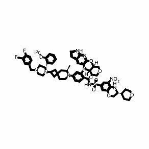 CC(C)Oc1ccccc1[C@H]1CN(Cc2ccc(F)c(F)c2)CCN1C1CC2(CCN(c3ccc(C(=O)NS(=O)(=O)c4cc5c(c([N+](=O)[O-])c4)N[C@H](C4CCOCC4)CO5)c(N4c5cc6cc[nH]c6nc5O[C@H]5COCC[C@@H]54)c3)[C@H](C)C2)C1